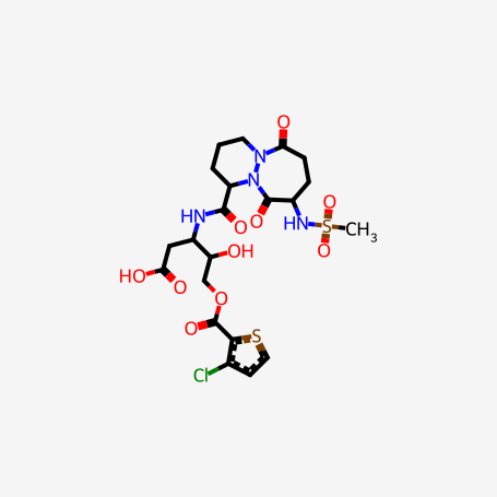 CS(=O)(=O)NC1CCC(=O)N2CCCC(C(=O)NC(CC(=O)O)C(O)COC(=O)c3sccc3Cl)N2C1=O